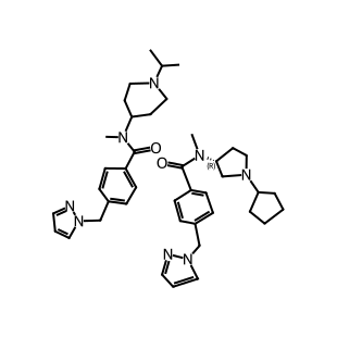 CC(C)N1CCC(N(C)C(=O)c2ccc(Cn3cccn3)cc2)CC1.CN(C(=O)c1ccc(Cn2cccn2)cc1)[C@@H]1CCN(C2CCCC2)C1